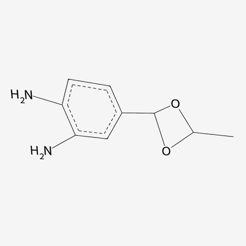 CC1OC(c2ccc(N)c(N)c2)O1